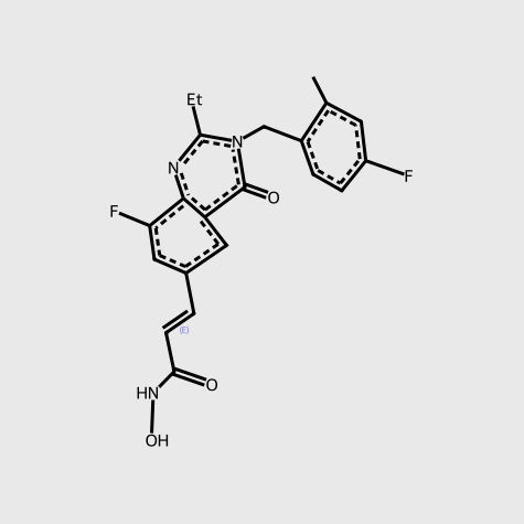 CCc1nc2c(F)cc(/C=C/C(=O)NO)cc2c(=O)n1Cc1ccc(F)cc1C